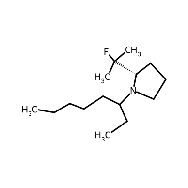 CCCCCC(CC)N1CCC[C@H]1C(C)(C)F